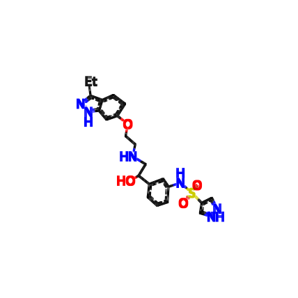 CCc1n[nH]c2cc(OCCNCC(O)c3cccc(NS(=O)(=O)c4cn[nH]c4)c3)ccc12